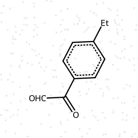 CCc1ccc(C(=O)C=O)cc1